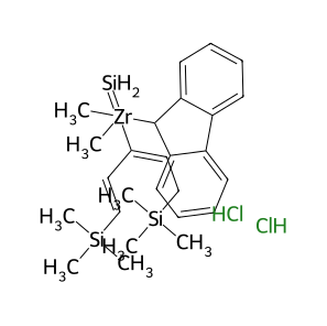 C[Si](C)(C)C=C[C](=CC[Si](C)(C)C)[Zr]([CH3])([CH3])(=[SiH2])[CH]1c2ccccc2-c2ccccc21.Cl.Cl